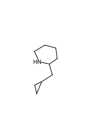 C1CCC(CC2CC2)NC1